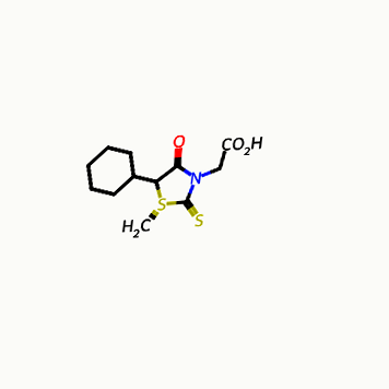 C=S1C(=S)N(CC(=O)O)C(=O)C1C1CCCCC1